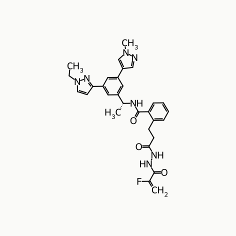 C=C(F)C(=O)NNC(=O)CCc1ccccc1C(=O)N[C@H](C)c1cc(-c2cnn(C)c2)cc(-c2ccn(CC)n2)c1